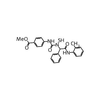 COC(=O)c1ccc(NC(=O)N(S)C(C(=O)Nc2ccccc2C)c2ccccc2)cc1